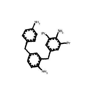 CC(C)c1cc(Cc2cc(Cc3ccc(N)cc3)ccc2N)cc(C(C)C)c1N